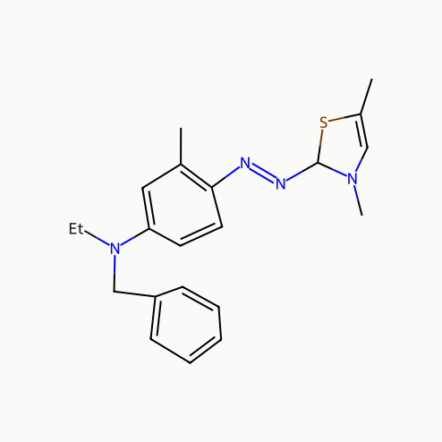 CCN(Cc1ccccc1)c1ccc(N=NC2SC(C)=CN2C)c(C)c1